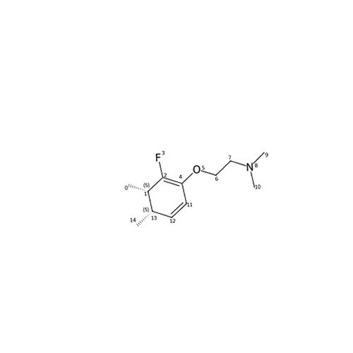 C[C@@H]1C(F)=C(OCCN(C)C)C=C[C@@H]1C